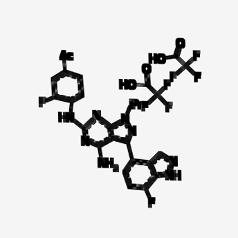 CC(=O)c1ccc(Nc2nc(N)c3c(-c4ccc(F)c5[nH]ncc45)nn(C(C)C)c3n2)c(F)c1.O=C(O)C(F)(F)F.O=C(O)C(F)(F)F